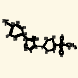 CS(=O)(=O)N1CCC(c2coc(-c3ccc(F)cc3)n2)CC1